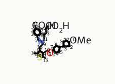 COc1ccc(-c2ccc(OCc3c(C)sc(C)c3CCN(CCCCC(=O)O)Cc3ccc(C(=O)O)cc3)cc2)cc1